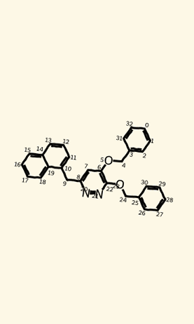 c1ccc(COc2cc(Cc3cccc4ccccc34)nnc2OCc2ccccc2)cc1